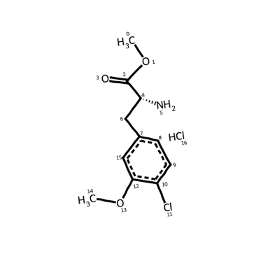 COC(=O)[C@H](N)Cc1ccc(Cl)c(OC)c1.Cl